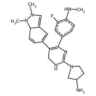 CNc1ccc(C2=C(C3=CC4=CN(C)N(C)C4C=C3)CNC(N3CCC(N)C3)=N2)cc1F